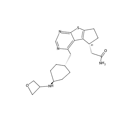 NC(=O)C[C@H]1CCc2sc3ncnc(C[C@H]4CC[C@H](NC5COC5)CC4)c3c21